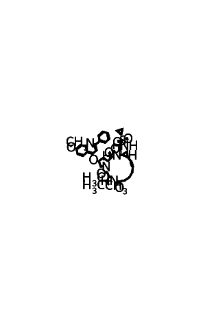 COc1ccc2c(O[C@@H]3C[C@H]4C(=O)N[C@@]5(C(=O)NS(=O)(=O)C6CC6)C[C@@H]5/C=C\CCCC(=O)N[C@H](C(C)(C)C)C(=O)N4C3)cc(-c3ccccc3)nc2c1